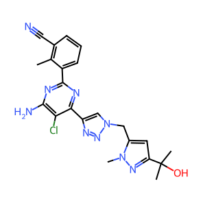 Cc1c(C#N)cccc1-c1nc(N)c(Cl)c(-c2cn(Cc3cc(C(C)(C)O)nn3C)nn2)n1